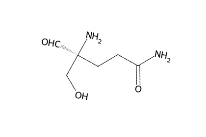 NC(=O)CC[C@@](N)(C=O)CO